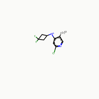 CCOC(=O)c1cnc(Cl)cc1NC1CC(F)(F)C1